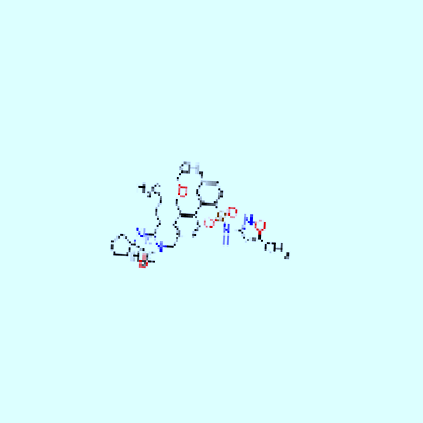 CCCC/C(=N/C1(C=O)CCCC1)N(C)Cc1ccc(-c2ccccc2S(=O)(=O)Nc2cc(C)on2)c(COCC)c1